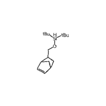 CC(C)(C)[SiH](OCC1CC2C=CC1C2)C(C)(C)C